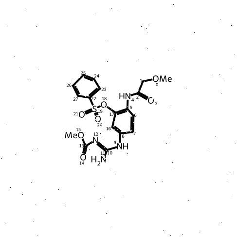 COCC(=O)Nc1ccc(NC(N)=NC(=O)OC)cc1OS(=O)(=O)c1ccccc1